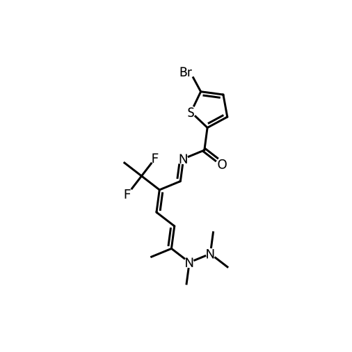 C\C(=C/C=C(\C=N\C(=O)c1ccc(Br)s1)C(C)(F)F)N(C)N(C)C